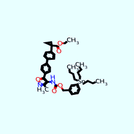 CCC[CH2][Sn]([CH2]CCC)([CH2]CCC)[c]1cccc(COC(=O)Nc2c(C)noc2-c2ccc(-c3ccc(C4(C(=O)OCC)CC4)cc3)cc2)c1